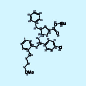 COCCCOc1ccccc1CN(C[C@H]1CN(C(=O)OC(C)(C)C)CC1Cc1ccccc1)c1ccc(Cl)cc1